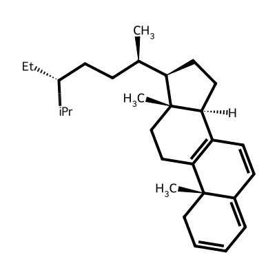 CC[C@H](CC[C@@H](C)[C@H]1CC[C@H]2C3=C(CC[C@]12C)[C@@]1(C)CC=CC=C1C=C3)C(C)C